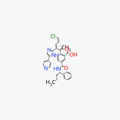 C=C(/C(=C\C=C/Cl)c1ncc(-c2ccncc2)[nH]1)c1ccc(C(=O)N[C@H](CCC)c2ccccc2)cc1C(=O)O